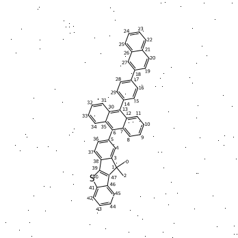 CC1(C)c2cc(-c3c4ccccc4c(-c4ccc(-c5ccc6ccccc6c5)cc4)c4ccccc34)ccc2-c2sc3ccccc3c21